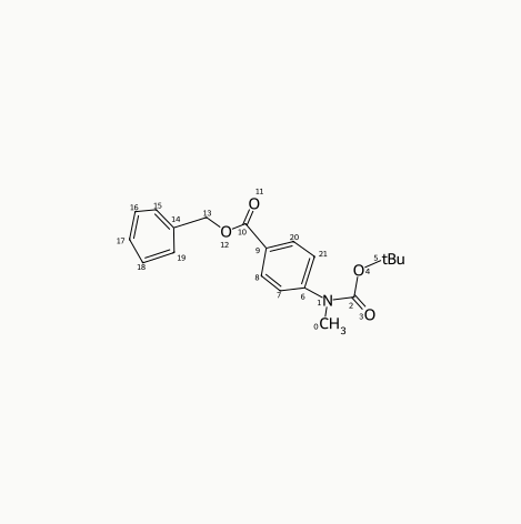 CN(C(=O)OC(C)(C)C)c1ccc(C(=O)OCc2ccccc2)cc1